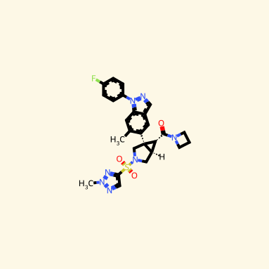 Cc1cc2c(cnn2-c2ccc(F)cc2)cc1[C@@]12CN(S(=O)(=O)c3cnn(C)n3)C[C@@H]1[C@H]2C(=O)N1CCC1